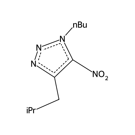 CCCCn1nnc(CC(C)C)c1[N+](=O)[O-]